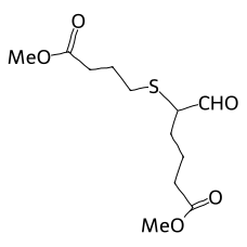 COC(=O)CCCSC(C=O)CCCC(=O)OC